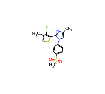 Cc1csc(-c2nc(C(F)(F)F)cn2-c2ccc(S(C)(=O)=O)cc2)c1F